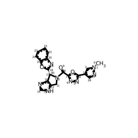 Cn1cc(-c2nnc(C(=O)N3Cc4[nH]cnc4[C@@H]3c3nc4ccccc4o3)o2)cn1